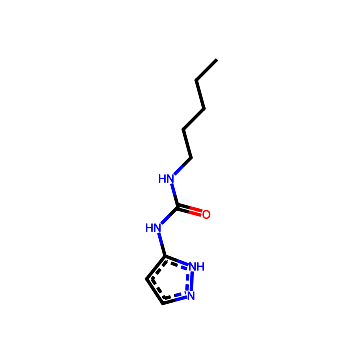 CCCCCNC(=O)Nc1ccn[nH]1